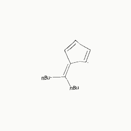 CCCCC(CCCC)=C1[C]=CC=C1